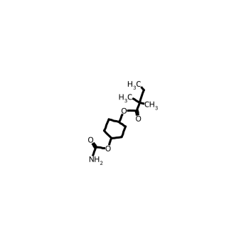 CCC(C)(C)C(=O)OC1CCC(OC(N)=O)CC1